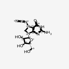 [N-]=[N+]=NN1CN([C@@H]2O[C@H](CO)[C@@H](O)[C@H]2O)c2nc(N)[nH]c(=O)c21